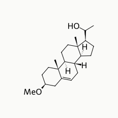 CO[C@H]1CC[C@@]2(C)C(=CC[C@H]3[C@@H]4CC[C@H](C(C)O)[C@@]4(C)CC[C@@H]32)C1